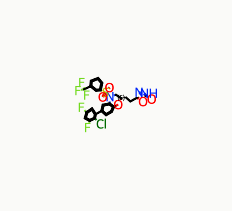 O=c1[nH]nc(CC[C@H]2CN(S(=O)(=O)c3cccc(C(F)(F)F)c3)c3cc(-c4cc(F)cc(F)c4Cl)ccc3O2)o1